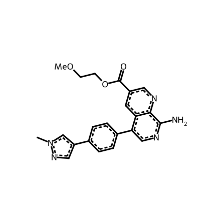 COCCOC(=O)c1cnc2c(N)ncc(-c3ccc(-c4cnn(C)c4)cc3)c2c1